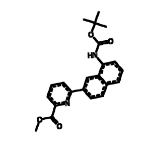 COC(=O)c1cccc(-c2ccc3cccc(NC(=O)OC(C)(C)C)c3c2)n1